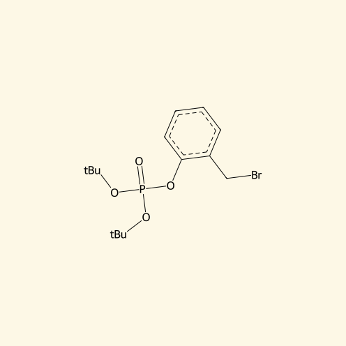 CC(C)(C)OP(=O)(Oc1ccccc1CBr)OC(C)(C)C